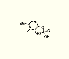 CCCCc1ccc(OP(=O)(O)O)c(C)c1C